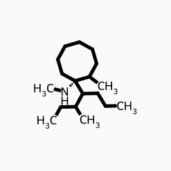 CCCC(C(C)CC)[C@@]1(NC)CCCCCCC1C